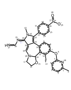 Cc1cccc(Oc2ccc3c(c2F)C2OCCN2C=C2C3=C(c3ccc([N+](=O)[O-])cc3)N(C)/C2=N/C=N)n1